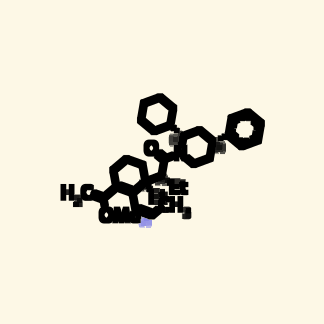 C=C(OC)C1=C(/C=C\C)[C@](CC)([C@@H](CC)C(=O)N2CC[C@@H](c3ccccc3)C[C@H]2C2CCCCC2)CCC1